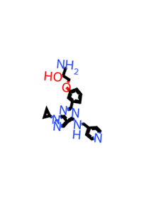 NCC(O)COc1cccc(-c2nc(NCc3ccncc3)c3cnn(C4CC4)c3n2)c1